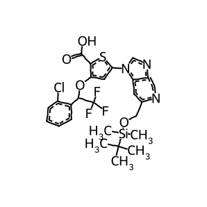 CC(C)(C)[Si](C)(C)OCc1cc2c(cn1)ncn2-c1cc(OC(c2ccccc2Cl)C(F)(F)F)c(C(=O)O)s1